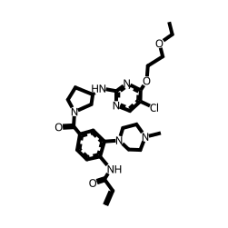 C=CC(=O)Nc1ccc(C(=O)N2CC[C@@H](Nc3ncc(Cl)c(OCCOCC)n3)C2)cc1N1CCN(C)CC1